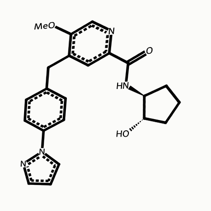 COc1cnc(C(=O)N[C@H]2CCC[C@@H]2O)cc1Cc1ccc(-n2cccn2)cc1